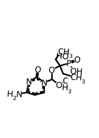 CCC(CC)(OC(OC)n1ccc(N)nc1=O)P(=O)(O)O